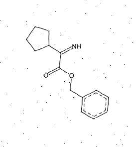 N=C(C(=O)OCc1ccccc1)C1CCCC1